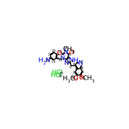 COc1cc2cncc(Cc3nc4c([nH]3)c(=O)n(C)c(=O)n4Cc3cccc(N)c3)c2cc1OC.Cl.Cl